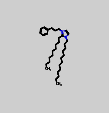 CCCCCCCCCCCCCn1cc[n+](CCCc2ccccc2)c1CCCCCCCCCC